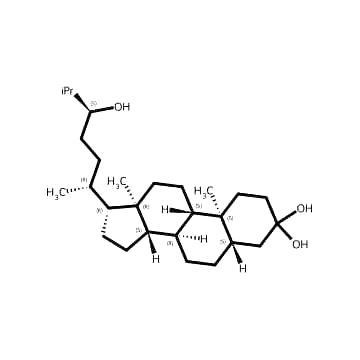 CC(C)[C@@H](O)CC[C@@H](C)[C@H]1CC[C@H]2[C@@H]3CC[C@H]4CC(O)(O)CC[C@]4(C)[C@H]3CC[C@]12C